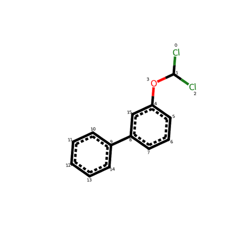 ClC(Cl)Oc1cccc(-c2cc[c]cc2)c1